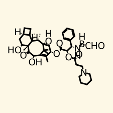 CC1=C2[C@@H](O)C(=O)[C@@]3(C)[C@H]([C@H](C)[C@](O)(C[C@@H]1OC(=O)[C@H](OC(=O)CCN1CCCCC1)[C@@H](NBC=O)c1ccccc1)C2(C)C)[C@]1(C)CC[C@@H]1C[C@@H]3O